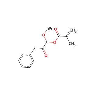 C=C(C)C(=O)OC(OCCC)C(=O)Cc1ccccc1